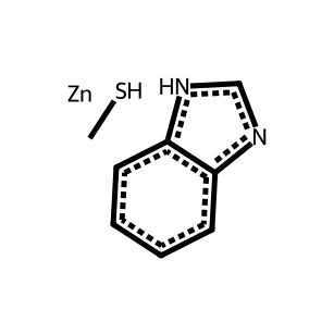 CS.[Zn].c1ccc2[nH]cnc2c1